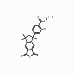 Cc1cc(C2(C)CC(C)(C)c3cc4c(cc32)C(=O)OC4=O)ccc1C(=O)OC=O